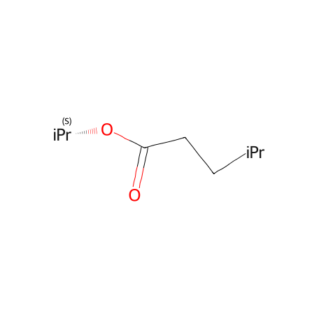 [CH2][C@@H](C)OC(=O)CCC(C)C